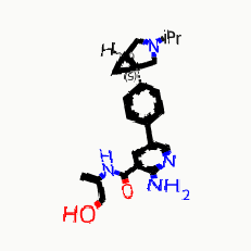 C=C(CO)NC(=O)c1cc(-c2ccc([C@]34C[C@H]3CN(C(C)C)C4)cc2)cnc1N